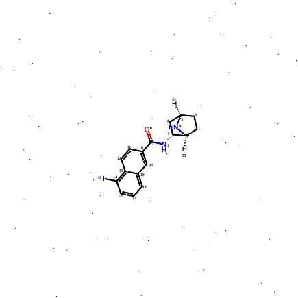 O=C(N[C@@H]1C[C@H]2CC[C@@H]1N2)c1ccc2c(I)cccc2c1